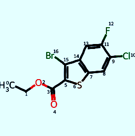 CCOC(=O)c1sc2cc(Cl)c(F)cc2c1Br